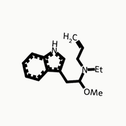 C=CCN(CC)C(Cc1c[nH]c2ccccc12)OC